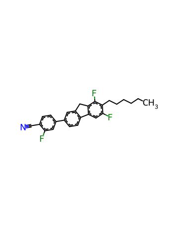 CCCCCCc1c(F)cc2c(c1F)Cc1cc(-c3ccc(C#N)c(F)c3)ccc1-2